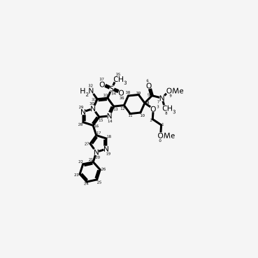 COCCOC1(C(=O)N(C)OC)CCC(c2nc3c(-c4cnn(-c5ccccc5)c4)cnn3c(N)c2S(C)(=O)=O)CC1